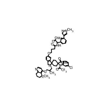 COC(=O)[C@H](NC(=O)CCCOc1ccc2c(c1)C1(CCC(C(=O)OC)(N(C(=O)C(F)(F)F)c3cccc(Cl)c3)CC1)[C@@H](C[C@@H](C)COc1ccnc3c1[C@H](C)CCC3)C2)c1cccc(-c2cnn(C)c2)c1